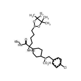 CC(=O)N[C@](CCCCB1OC(C)(C)C(C)(C)O1)(C(=O)NC(C)(C)C)C1CCC(N(Cc2ccc(Cl)cc2)C(=O)O)CC1